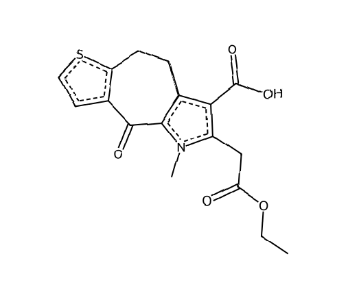 CCOC(=O)Cc1c(C(=O)O)c2c(n1C)C(=O)c1ccsc1CC2